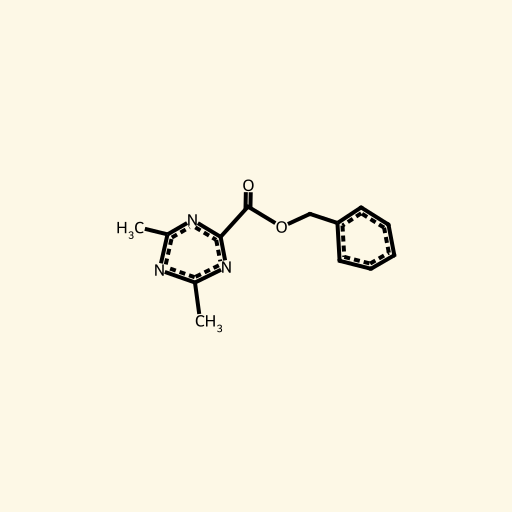 Cc1nc(C)nc(C(=O)OCc2ccccc2)n1